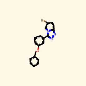 Brc1ccc2nnc(-c3cccc(OCc4ccccc4)c3)n2c1